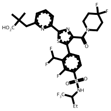 CCC(NS(=O)(=O)c1ccc(-c2sc(-c3cccc(CC(C)(C)C(=O)O)n3)nc2C(=O)N2CCC(F)(F)CC2)c(C(F)F)c1F)C(F)(F)F